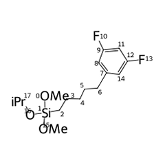 CO[Si](CCCCCc1cc(F)cc(F)c1)(OC)OC(C)C